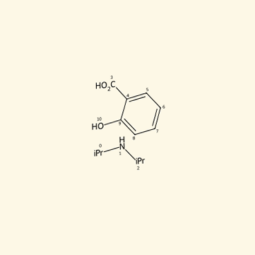 CC(C)NC(C)C.O=C(O)c1ccccc1O